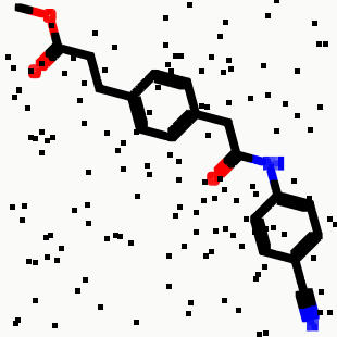 COC(=O)CCc1ccc(CC(=O)Nc2ccc(C#N)cc2)cc1